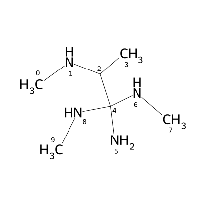 CNC(C)C(N)(NC)NC